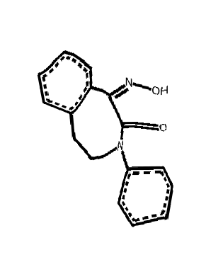 O=C1C(=NO)c2ccccc2CCN1c1ccccc1